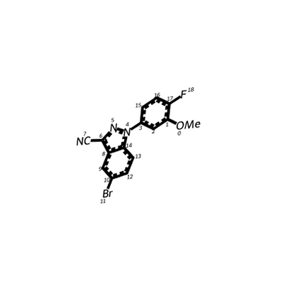 COc1cc(-n2nc(C#N)c3cc(Br)ccc32)ccc1F